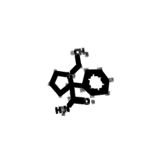 CCN1CCCC1(C(N)=O)c1ccccc1